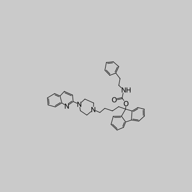 O=C(NCCc1ccccc1)OC1(CCCCN2CCN(c3ccc4ccccc4n3)CC2)c2ccccc2-c2ccccc21